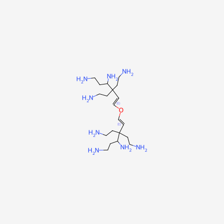 NCCC(N)C(/C=C/O/C=C/C(CCN)(CCN)C(N)CCN)(CCN)CCN